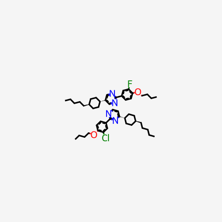 CCCCC[C@H]1CC[C@H](c2ccnc(-c3ccc(OCCCC)c(Cl)c3)n2)CC1.CCCCC[C@H]1CC[C@H](c2cnc(-c3ccc(OCCCC)c(F)c3)nc2)CC1